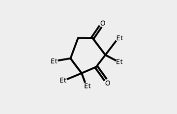 CCC1CC(=O)C(CC)(CC)C(=O)C1(CC)CC